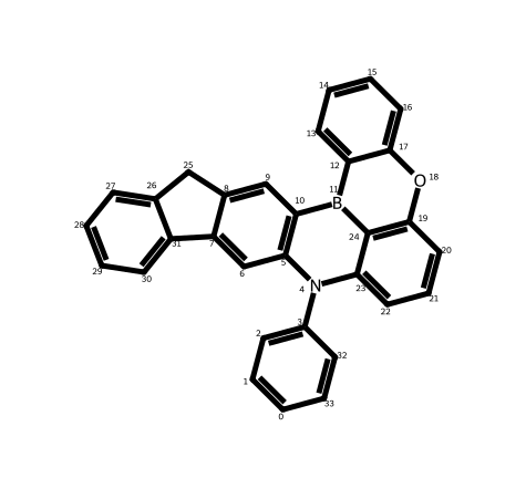 c1ccc(N2c3cc4c(cc3B3c5ccccc5Oc5cccc2c53)Cc2ccccc2-4)cc1